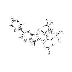 CC(C)C[C@H](c1nc2cc(-c3ccncc3)ccc2[nH]1)N(CC(F)(F)F)C(=O)OC(C)(C)C